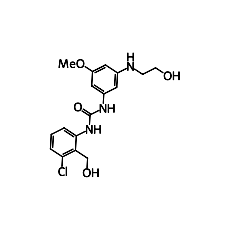 COc1cc(NCCO)cc(NC(=O)Nc2cccc(Cl)c2CO)c1